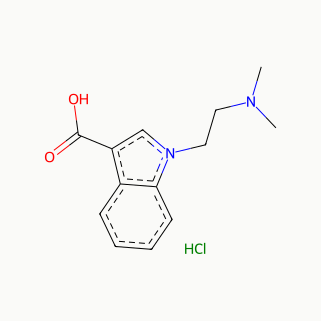 CN(C)CCn1cc(C(=O)O)c2ccccc21.Cl